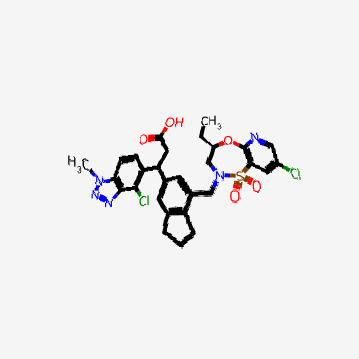 CC[C@@H]1CN(Cc2cc(C(CC(=O)O)c3ccc4c(nnn4C)c3Cl)cc3c2CCC3)S(=O)(=O)c2cc(Cl)cnc2O1